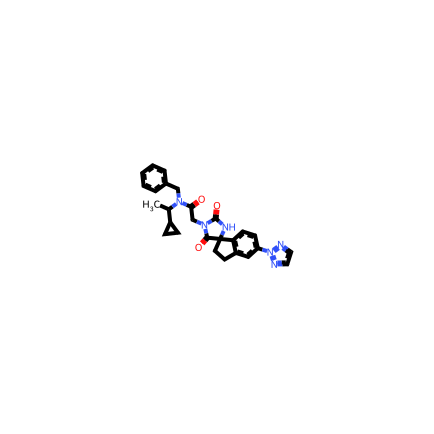 CC(C1CC1)N(Cc1ccccc1)C(=O)CN1C(=O)NC2(CCc3cc(-n4nccn4)ccc32)C1=O